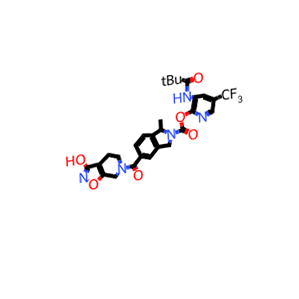 CC1c2ccc(C(=O)N3CCc4c(O)noc4C3)cc2CN1C(=O)Oc1ncc(C(F)(F)F)cc1NC(=O)C(C)(C)C